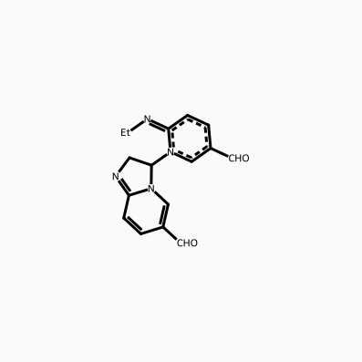 CC/N=c1/ccc(C=O)cn1C1CN=C2C=CC(C=O)=CN21